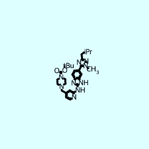 CC(C)Cc1nc(-c2ccc3nc(Nc4cc(CN5CCN(C(=O)OC(C)(C)C)CC5)ccn4)[nH]c3c2)n(C)n1